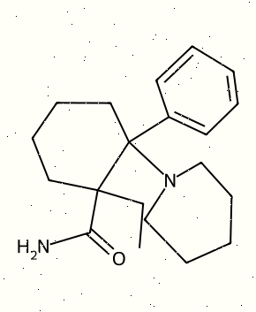 CCC1(C(N)=O)CCCCC1(c1ccccc1)N1CCCCC1